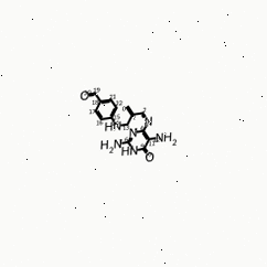 C=C(/C=N\c1nc(N)[nH]c(=O)c1N)CNc1ccc(C=O)cc1